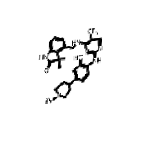 CC(C)N1CCC(c2ccc(Nc3ncc(C(F)(F)F)c(NCc4cccc5c4C(C)(C)C(=O)N5)n3)c(O)c2)CC1